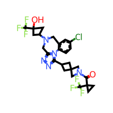 O=C(N1CC2(CC(c3nnc4n3-c3ccc(Cl)cc3CN(C3CC(O)(C(F)(F)F)C3)C4)C2)C1)C1(C(F)(F)F)CC1